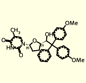 COc1ccc(C(c2ccccc2)(c2ccc(OC)cc2)C(O)[C@@H]2CC[C@H](n3cc(C)c(=O)[nH]c3=O)O2)cc1